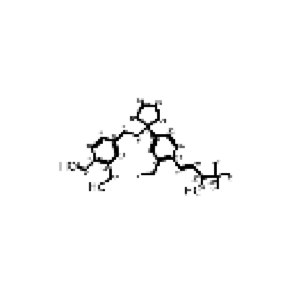 CCc1cc(C2(CCc3ccc(CO)c(CO)c3)CCCC2)ccc1C=CC(O)C(C)(C)C